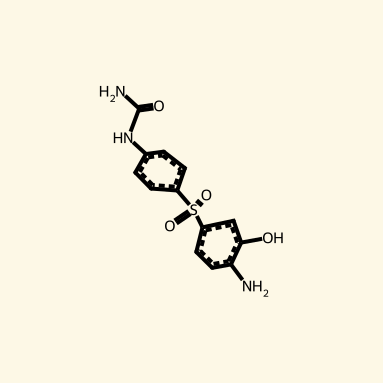 NC(=O)Nc1ccc(S(=O)(=O)c2ccc(N)c(O)c2)cc1